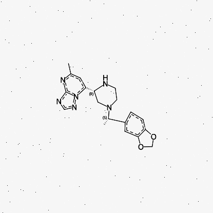 Cc1cc([C@H]2CN([C@@H](C)c3ccc4c(c3)OCO4)CCN2)n2ncnc2n1